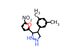 Cc1cc(C)cc(C2CNNC2c2ccc([N+](=O)[O-])o2)c1